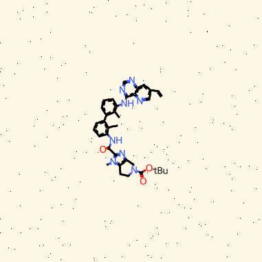 C=Cc1cnc2c(Nc3cccc(-c4cccc(NC(=O)c5nc6c(n5C)CCN(C(=O)OC(C)(C)C)C6)c4C)c3C)ncnc2c1